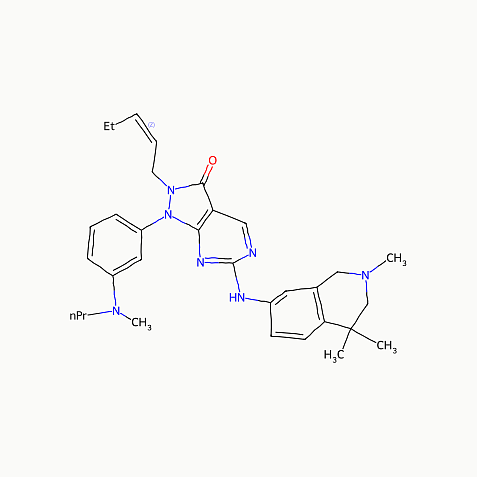 CC/C=C\Cn1c(=O)c2cnc(Nc3ccc4c(c3)CN(C)CC4(C)C)nc2n1-c1cccc(N(C)CCC)c1